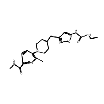 CCNC(=O)Nc1cc(CC2CCN(c3ccc(C(=O)NC)nc3C)CC2)no1